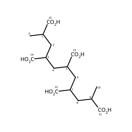 CC(CC(CC(CC(CC(C)C(=O)O)C(=O)O)C(=O)O)C(=O)O)C(=O)O